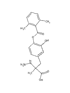 Cc1cccc(C)c1C(=O)Oc1ccc(CC(C)(NN)C(=O)O)cc1O